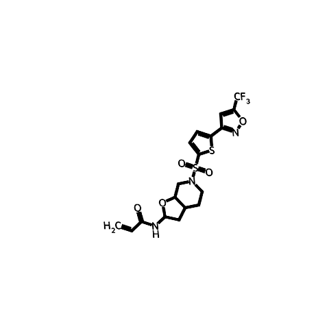 C=CC(=O)NC1CC2CCN(S(=O)(=O)c3ccc(-c4cc(C(F)(F)F)on4)s3)CC2O1